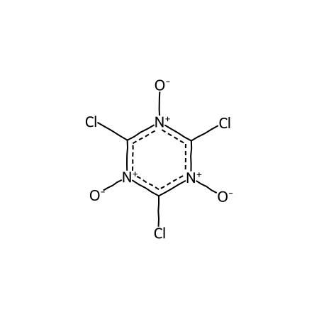 [O-][n+]1c(Cl)[n+]([O-])c(Cl)[n+]([O-])c1Cl